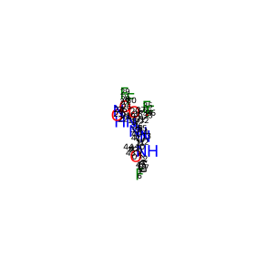 O=C(C[C@]12C[C@@](F)(C1)C2)NC(c1cnn2cc([C@@H](NC(=O)c3conc3OCC(F)F)C3CCC(F)(F)CC3)nc2c1)C1CC1